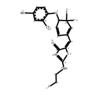 N#Cc1ccc(OC2C=CC(C=C3SC(NCCF)=NC3=O)=CC2(F)F)c(C(F)(F)F)c1